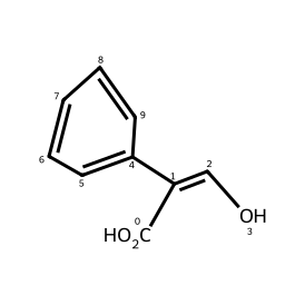 O=C(O)/C(=C\O)c1ccccc1